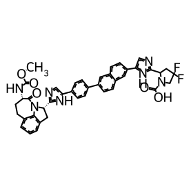 COC(=O)N[C@H]1CCc2cccc3c2N(C1=O)[C@H](c1ncc(-c2ccc(-c4ccc5cc(-c6cnc(C7CC(F)(F)CN7C(=O)O)[nH]6)ccc5c4)cc2)[nH]1)C3